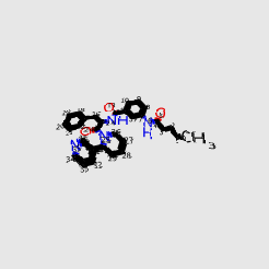 CCCCC(=O)Nc1cccc(C(=O)NC(Cc2ccccc2)C(=O)N2CC=CCC2c2cccnc2)c1